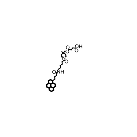 CC1(COC(=O)CCC(=O)O)CCN(C(=O)CCCCCNC(=O)CCCc2ccc3ccc4cccc5ccc2c3c45)CC1